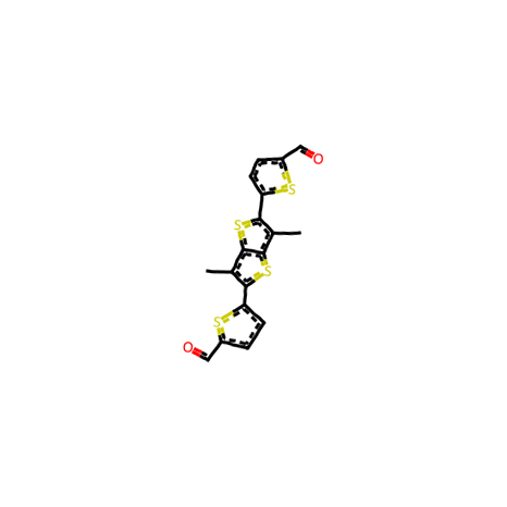 Cc1c(-c2ccc(C=O)s2)sc2c(C)c(-c3ccc(C=O)s3)sc12